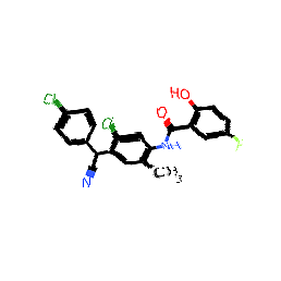 Cc1cc(C(C#N)c2ccc(Cl)cc2)c(Cl)cc1NC(=O)c1cc(F)ccc1O